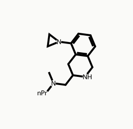 CCCN(C)CC1Cc2c(cccc2N2CC2)CN1